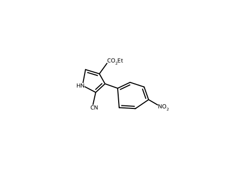 CCOC(=O)c1c[nH]c(C#N)c1-c1ccc([N+](=O)[O-])cc1